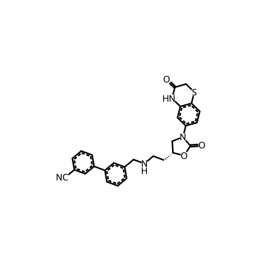 N#Cc1cccc(-c2cccc(CNCC[C@@H]3CN(c4ccc5c(c4)NC(=O)CS5)C(=O)O3)c2)c1